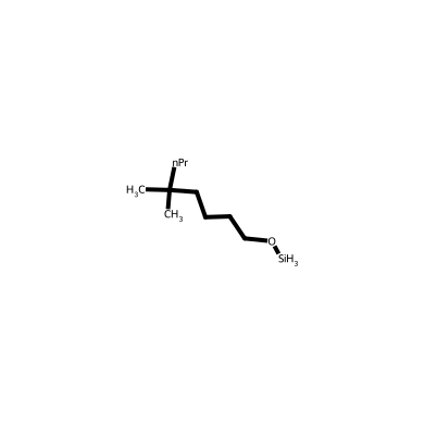 CCCC(C)(C)CCCCO[SiH3]